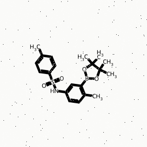 Cc1ccc(S(=O)(=O)Nc2ccc(C)c(B3OC(C)(C)C(C)(C)O3)c2)cc1